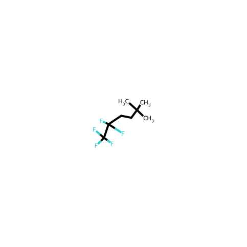 CC(C)(C)CCC(F)(F)C(F)(F)F